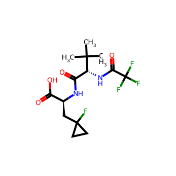 CC(C)(C)[C@H](NC(=O)C(F)(F)F)C(=O)N[C@@H](CC1(F)CC1)C(=O)O